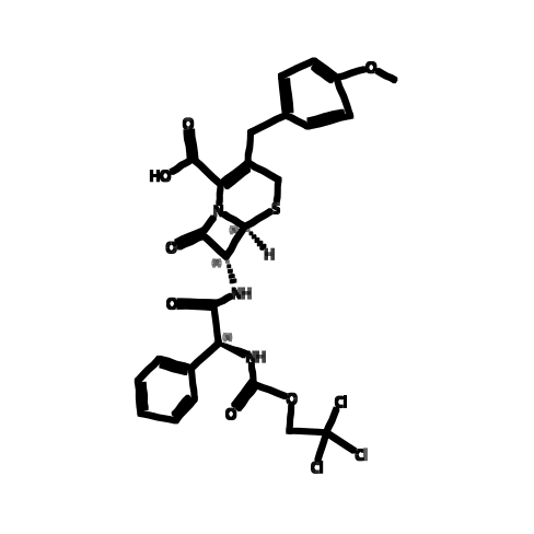 COc1ccc(CC2=C(C(=O)O)N3C(=O)[C@@H](NC(=O)[C@@H](NC(=O)OCC(Cl)(Cl)Cl)c4ccccc4)[C@@H]3SC2)cc1